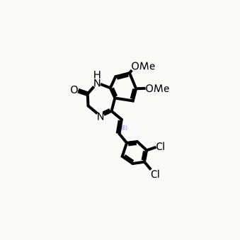 COc1cc2c(cc1OC)C(/C=C/c1ccc(Cl)c(Cl)c1)=NCC(=O)N2